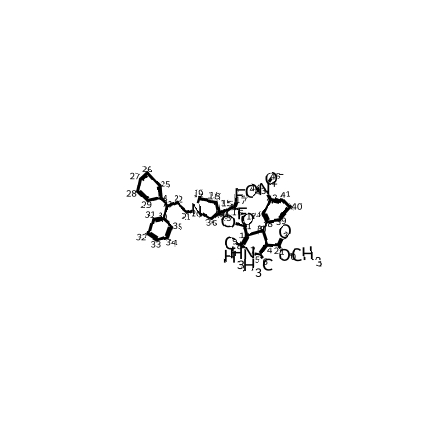 COC(=O)C1=C(C)NC(C)=C(C(=O)O[C@]2(C(F)F)CCN(CCC(c3ccccc3)c3ccccc3)C2)[C@H]1c1cccc([N+](=O)[O-])c1